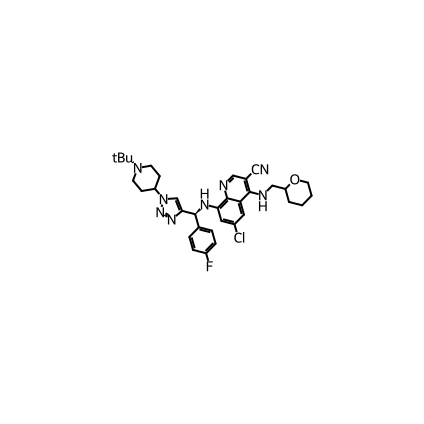 CC(C)(C)N1CCC(n2cc([C@@H](Nc3cc(Cl)cc4c(NCC5CCCCO5)c(C#N)cnc34)c3ccc(F)cc3)nn2)CC1